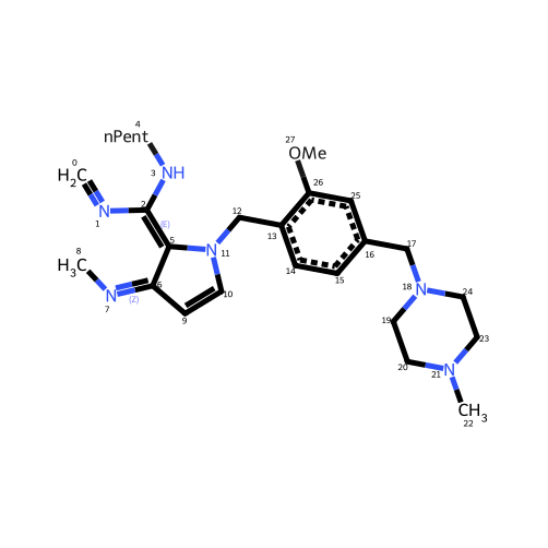 C=N/C(NCCCCC)=C1\C(=N/C)C=CN1Cc1ccc(CN2CCN(C)CC2)cc1OC